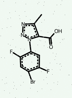 Cc1nnn(-c2cc(F)c(Br)cc2F)c1C(=O)O